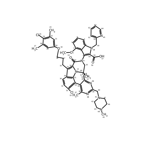 COc1cccc2c1c(N1C[C@@H](C)n3c(c(CCCOc4cc(C)c(Cl)c(C)c4)c4ccc(Cl)c(-c5c(C)nc(CN6CCN(C)CC6)nc5C)c43)C1=O)c(C(=O)O)n2Cc1ccccn1